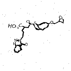 O=C(CC(CCn1nnc2ccccc2c1=O)C(=O)O)c1cc2ccc(OCC3CCO3)cc2s1